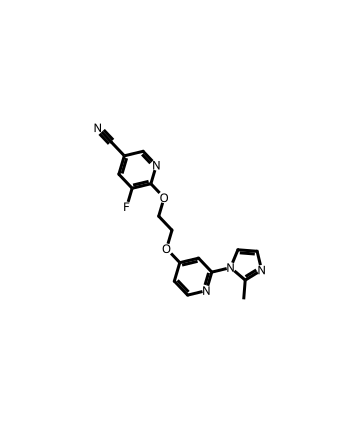 Cc1nccn1-c1cc(OCCOc2ncc(C#N)cc2F)ccn1